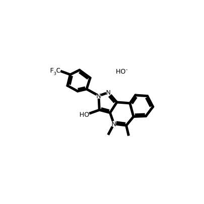 Cc1c2ccccc2c2nn(-c3ccc(C(F)(F)F)cc3)c(O)c2[n+]1C.[OH-]